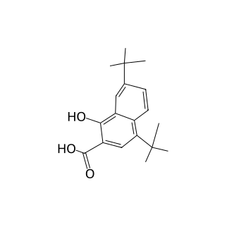 CC(C)(C)c1ccc2c(C(C)(C)C)cc(C(=O)O)c(O)c2c1